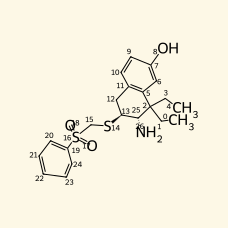 CCC1(CC)c2cc(O)ccc2C[C@H](SCS(=O)(=O)c2ccccc2)[C@H]1N